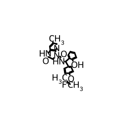 Cc1cnc2c(c1)NC(=O)CN2C(=O)NC(c1ccc(OC(C)(C)F)cc1)c1ccccc1O